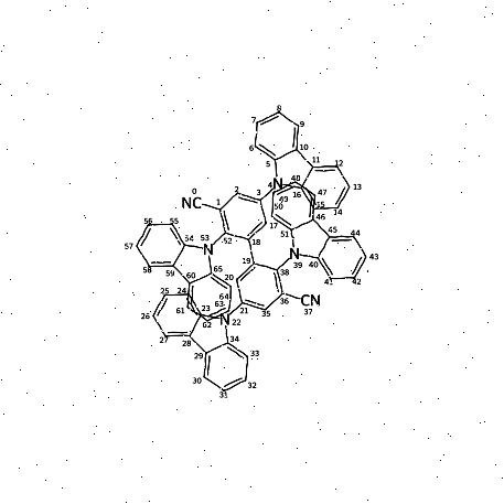 N#Cc1cc(-n2c3ccccc3c3ccccc32)cc(-c2cc(-n3c4ccccc4c4ccccc43)cc(C#N)c2-n2c3ccccc3c3ccccc32)c1-n1c2ccccc2c2ccccc21